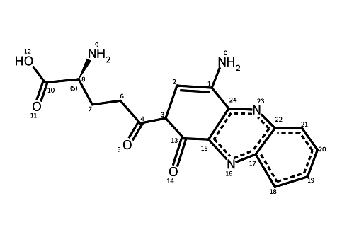 NC1=CC(C(=O)CC[C@H](N)C(=O)O)C(=O)c2nc3ccccc3nc21